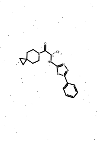 C[C@H](Nc1nnc(-c2ccccc2)s1)C(=O)N1CCC2(CC1)CC2